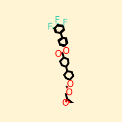 O=C(Oc1ccc(-c2cc(F)c(F)c(F)c2)cc1)C1CCC(C2CCC(OCOCC3CO3)CC2)CC1